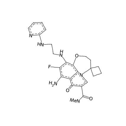 CNC(=O)c1cn2c3c(c(NCCNc4ccccn4)c(F)c(N)c3c1=O)OCCC21CCC1